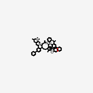 C=C1CC2C(CCc3c(cc4c(oc5ccccc54)c3C)-c3n(-c4c(C(C)C)cc(-c5ccccc5)cc4C(C)C)c4ccccc4[n+]31)c1ccc(-c3ccccc3)cc1-c1cc(CC(C)C)c([Si](C)(C)C)c[n+]12